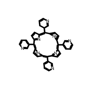 C1=CN=CC(c2c3nc(c(-c4cccnc4)c4ccc([nH]4)c(-c4cccnc4)c4nc(c(-c5cccnc5)c5ccc2[nH]5)C=C4)C=C3)C1